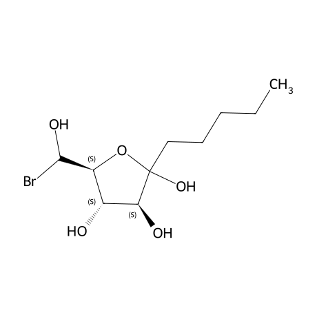 CCCCCC1(O)O[C@H](C(O)Br)[C@@H](O)[C@@H]1O